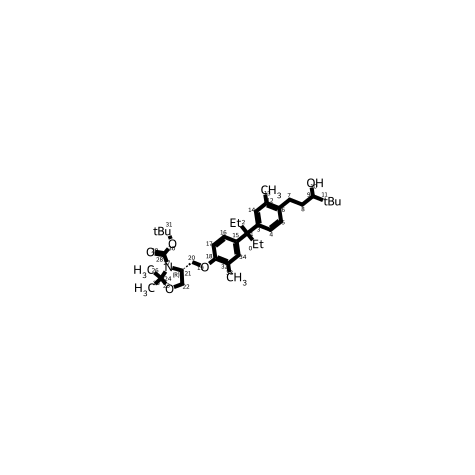 CCC(CC)(c1ccc(CCC(O)C(C)(C)C)c(C)c1)c1ccc(OC[C@@H]2COC(C)(C)N2C(=O)OC(C)(C)C)c(C)c1